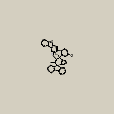 C=C/C=C\C1=C(C)C2(c3ccccc3-c3ccccc32)c2ccccc2C1(O)c1cc(Cl)ccc1-c1ccc2c(c1)sc1ccccc12